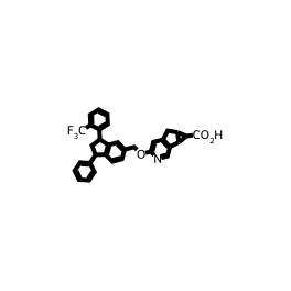 O=C(O)C1C2Cc3cc(OCc4ccc5c(c4)C(c4ccccc4C(F)(F)F)CC5c4ccccc4)ncc3C21